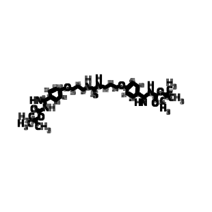 CC(C)(C)OC(=O)NC(=N)c1ccc(OCCCNC(=S)NCCCOc2ccc(C(=N)NC(=O)OC(C)(C)C)cc2)cc1